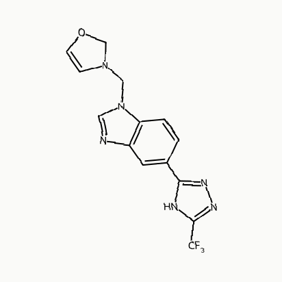 FC(F)(F)c1nnc(-c2ccc3c(c2)ncn3CN2C=COC2)[nH]1